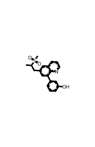 CC(Cc1cc(-c2cccc(O)c2)c2ncccc2c1)S(C)(=O)=O